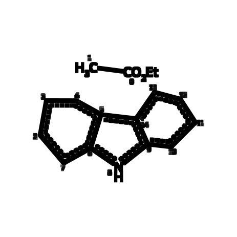 CCOC(C)=O.c1ccc2c(c1)[nH]c1ccccc12